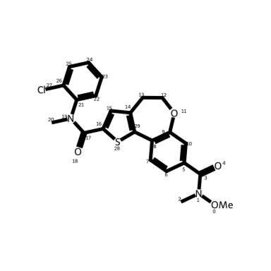 CON(C)C(=O)c1ccc2c(c1)OCCc1cc(C(=O)N(C)c3ccccc3Cl)sc1-2